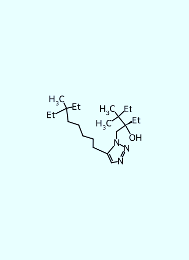 CCC(C)(CC)CCCCCc1cnnn1C[C@](O)(CC)C(C)(C)CC